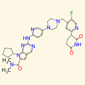 CN(C)C(=O)c1cc2cnc(Nc3ccc(N4CCN(Cc5cc(C6CCC(=O)NC6=O)ncc5F)CC4)cn3)nc2n1C1CCCC1